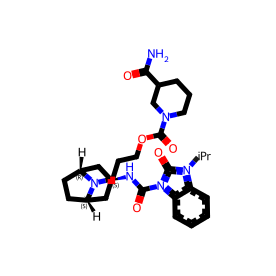 CC(C)n1c(=O)n(C(=O)N[C@@H]2C[C@H]3CC[C@@H](C2)N3CCCOC(=O)N2CCCC(C(N)=O)C2)c2ccccc21